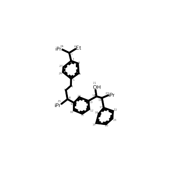 CCC(c1ccc(CCC(c2cccc(C(O)C(c3ccccc3)C(C)C)c2)C(C)C)cc1)C(C)C